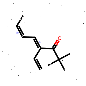 C=C/C(=C\C=C/C)C(=O)C(C)(C)C